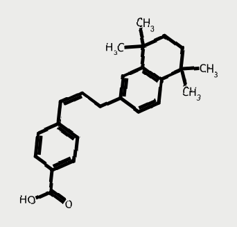 CC1(C)CCC(C)(C)c2cc(C/C=C\c3ccc(C(=O)O)cc3)ccc21